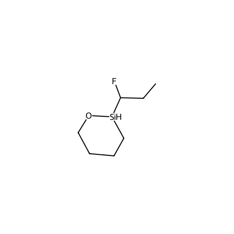 CCC(F)[SiH]1CCCCO1